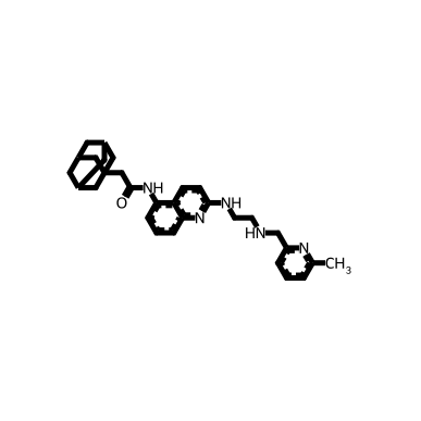 Cc1cccc(CNCCNc2ccc3c(NC(=O)CC45CC6CC(CC(C6)C4)C5)cccc3n2)n1